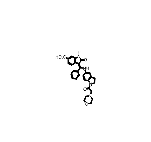 O=C1Nc2cc(C(=O)O)ccc2/C1=C(/Nc1ccc2c(c1)CCN2C(=O)CN1CCOCC1)c1ccccc1